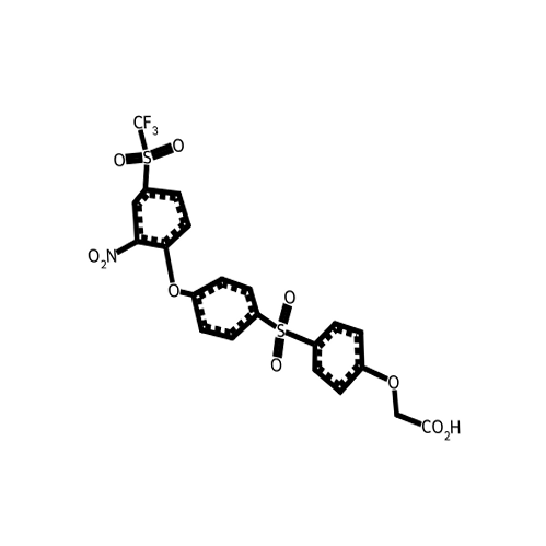 O=C(O)COc1ccc(S(=O)(=O)c2ccc(Oc3ccc(S(=O)(=O)C(F)(F)F)cc3[N+](=O)[O-])cc2)cc1